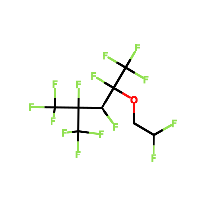 FC(F)COC(F)(C(F)C(F)(C(F)(F)F)C(F)(F)F)C(F)(F)F